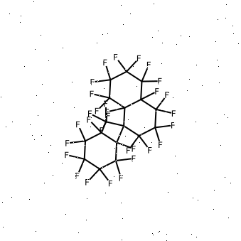 FC(F)(F)C1(C2(F)C(F)(F)C(F)(F)C(F)(F)C(F)(F)C2(F)F)C(F)(F)C(F)(F)C(F)(F)C2(F)C(F)(F)C(F)(F)C(F)(F)C(F)(F)C21F